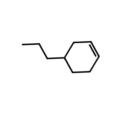 CCC[C]1CC=CCC1